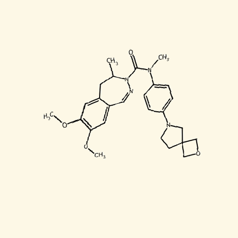 COc1cc2c(cc1OC)CC(C)N(C(=O)N(C)c1ccc(N3CCC4(COC4)C3)cc1)N=C2